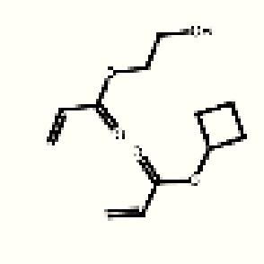 C=CC(=O)OC1CCC1.C=CC(=O)OCCO